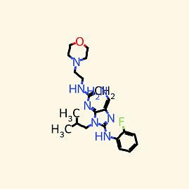 C=C(/N=C1\C(=C/N)N=C(Nc2ccccc2F)N1CC(C)C)NCCN1CCOCC1